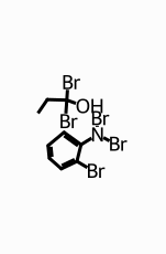 Brc1ccccc1N(Br)Br.CCC(O)(Br)Br